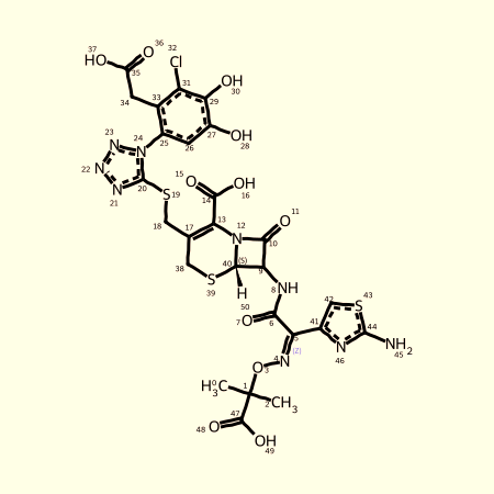 CC(C)(O/N=C(\C(=O)NC1C(=O)N2C(C(=O)O)=C(CSc3nnnn3-c3cc(O)c(O)c(Cl)c3CC(=O)O)CS[C@@H]12)c1csc(N)n1)C(=O)O